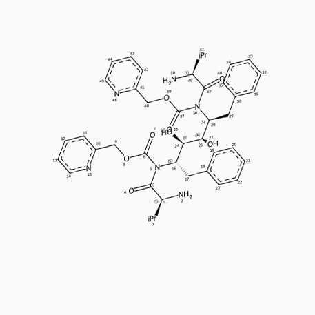 CC(C)[C@H](N)C(=O)N(C(=O)OCc1ccccn1)[C@@H](Cc1ccccc1)[C@@H](O)[C@H](O)[C@H](Cc1ccccc1)N(C(=O)OCc1ccccn1)C(=O)[C@@H](N)C(C)C